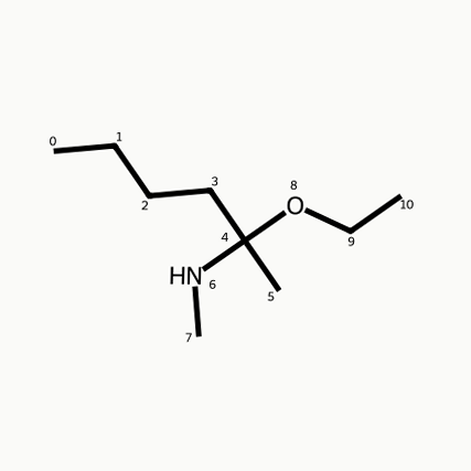 CCCCC(C)(NC)OCC